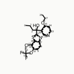 CCCC(O)(c1nc2ccc(OC(F)(F)F)c(Cl)c2s1)c1cnccc1OCC